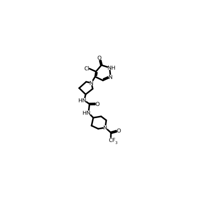 O=C(NC1CCN(C(=O)C(F)(F)F)CC1)NC1CCN(c2cn[nH]c(=O)c2Cl)C1